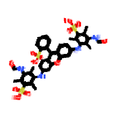 Cc1c(/N=c2\ccc3c(-c4ccccc4S(=O)(=O)O)c4ccc(Nc5c(C)c(NC=O)c(C)c(S(=O)(=O)O)c5C)cc4oc-3c2)c(C)c(S(=O)(=O)O)c(C)c1NC=O